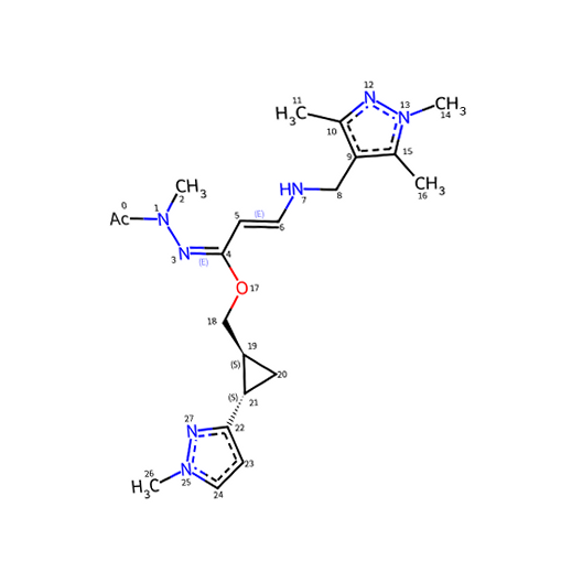 CC(=O)N(C)/N=C(\C=C\NCc1c(C)nn(C)c1C)OC[C@H]1C[C@@H]1c1ccn(C)n1